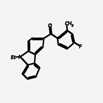 CCn1c2ccccc2c2cc(C(=O)c3ccc(F)cc3C)ccc21